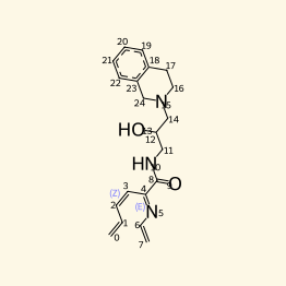 C=C/C=C\C(=N/C=C)C(=O)NCC(O)CN1CCc2ccccc2C1